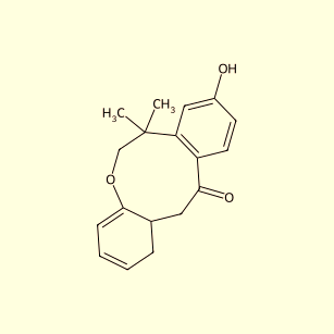 CC1(C)COC2=CC=CCC2CC(=O)c2ccc(O)cc21